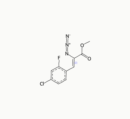 COC(=O)/C(=C/c1ccc(Cl)cc1F)N=[N+]=[N-]